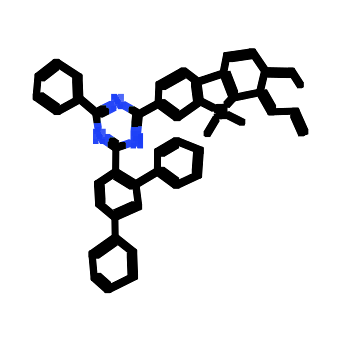 C=C/C=c1/c2c(cc/c1=C/C)-c1ccc(-c3nc(-c4ccccc4)nc(-c4ccc(-c5ccccc5)cc4-c4ccccc4)n3)cc1[Si]2(C)C